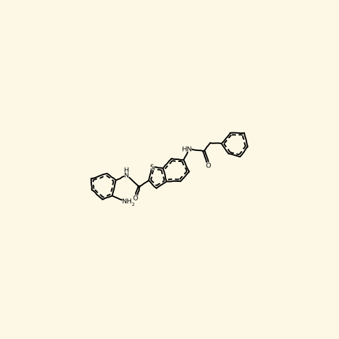 Nc1ccccc1NC(=O)c1cc2ccc(NC(=O)Cc3ccccc3)cc2s1